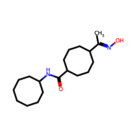 C/C(=N\O)C1CCCC(C(=O)NC2CCCCCCC2)CCC1